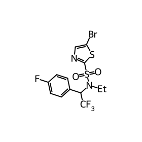 CCN(C(c1ccc(F)cc1)C(F)(F)F)S(=O)(=O)c1ncc(Br)s1